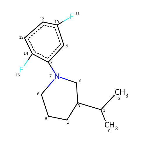 CC(C)C1CCCN(c2cc(F)ccc2F)C1